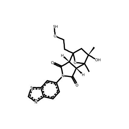 CC12OC(CCOS)(C[C@]1(C)O)[C@H]1C(=O)N(c3ccc4ncsc4c3)C(=O)[C@H]12